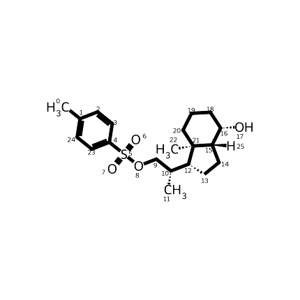 Cc1ccc(S(=O)(=O)OC[C@@H](C)[C@H]2CC[C@H]3[C@@H](O)CCC[C@]23C)cc1